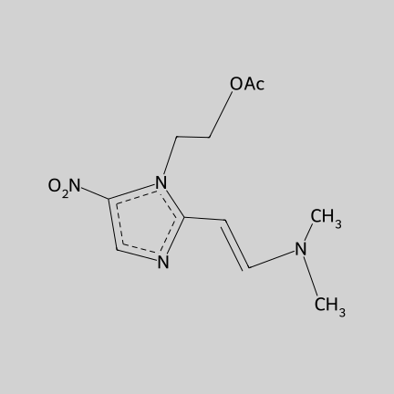 CC(=O)OCCn1c([N+](=O)[O-])cnc1C=CN(C)C